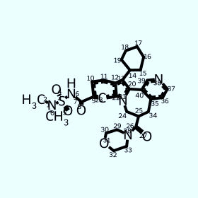 CN(C)S(=O)(=O)NC(=O)c1ccc2c(C3CCCCC3)c3n(c2c1)CC(C(=O)N1CCOCC1)Cc1ccncc1-3